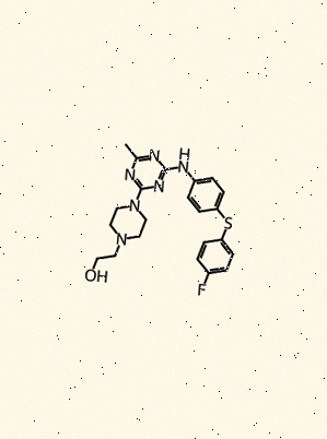 Cc1nc(Nc2ccc(Sc3ccc(F)cc3)cc2)nc(N2CCN(CCO)CC2)n1